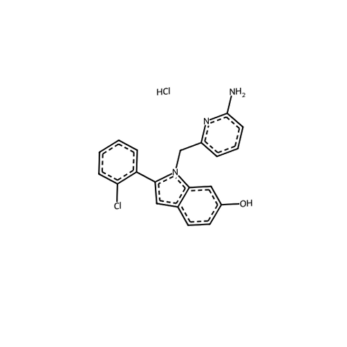 Cl.Nc1cccc(Cn2c(-c3ccccc3Cl)cc3ccc(O)cc32)n1